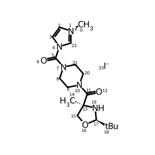 C[n+]1ccn(C(=O)N2CCN(C(=O)[C@]3(C)CO[C@H](C(C)(C)C)N3)CC2)c1.[I-]